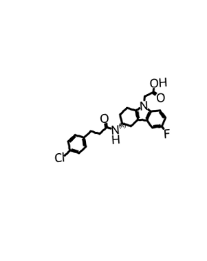 O=C(O)Cn1c2c(c3cc(F)ccc31)C[C@H](NC(=O)CCc1ccc(Cl)cc1)CC2